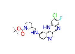 CC(C)(C)OC(=O)N1CCCC(CNc2ccc3ncc(C#N)c(Nc4ccc(F)c(Cl)c4)c3c2)C1